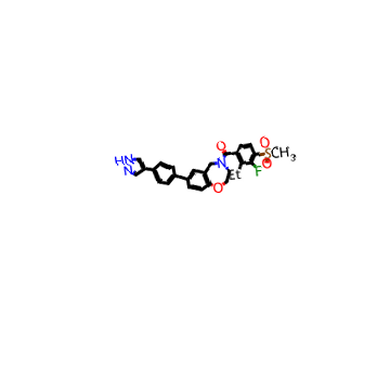 CCc1c(C(=O)N2CCOc3ccc(-c4ccc(-c5cn[nH]c5)cc4)cc3C2)ccc(S(C)(=O)=O)c1F